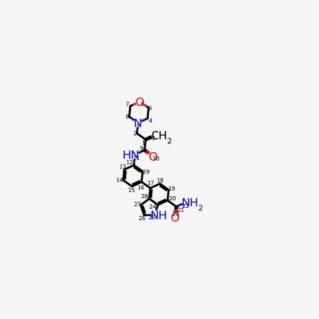 C=C(CN1CCOCC1)C(=O)Nc1cccc(-c2ccc(C(N)=O)c3[nH]ccc23)c1